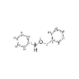 c1ccc(COPc2ccccc2)cc1